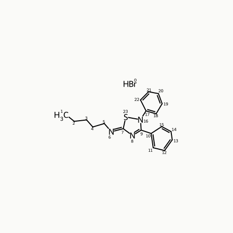 Br.CCCCCN=c1nc(-c2ccccc2)n(-c2ccccc2)s1